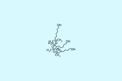 C[Si](C)(CCCCCCO)O[Si](C)(C)O[Si](C)(CCCCCCO)O[Si](C)(C)CCCCCCO